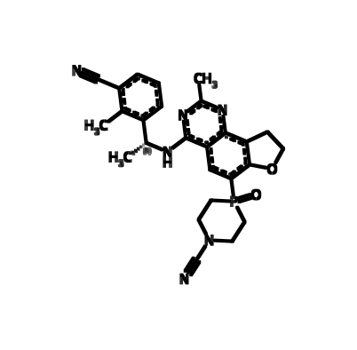 Cc1nc(N[C@H](C)c2cccc(C#N)c2C)c2cc(P3(=O)CCN(C#N)CC3)c3c(c2n1)CCO3